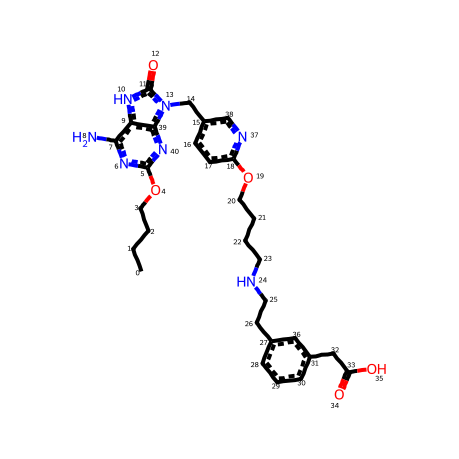 CCCCOc1nc(N)c2[nH]c(=O)n(Cc3ccc(OCCCCNCCc4cccc(CC(=O)O)c4)nc3)c2n1